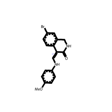 COc1ccc(N/C=C2\C(=O)NCc3cc(Br)ccc32)cc1